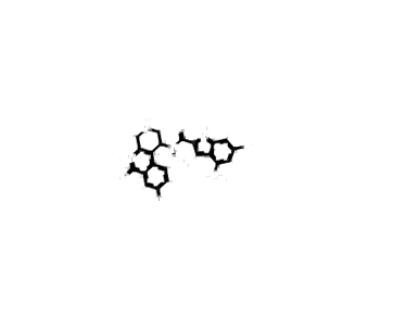 Cc1cc(F)cc2[nH]c(C(=O)N(C)C3CNCc4[nH]c(=O)c5cc(F)ccc5c43)cc12